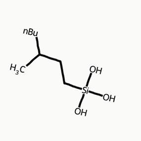 CCCCC(C)CC[Si](O)(O)O